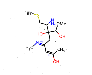 C/N=C(\C=C(/C)O)CC(O)(C(N)CSC(C)C)C(O)OC